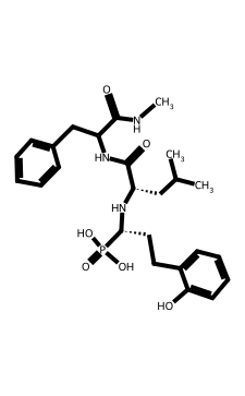 CNC(=O)C(Cc1ccccc1)NC(=O)[C@H](CC(C)C)N[C@H](CCc1ccccc1O)P(=O)(O)O